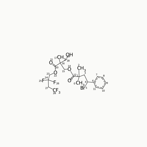 CC(C)(CC(Br)c1ccccc1)C(=O)OCC(C)(CO)C(=O)OCC(F)(F)CC(F)(F)F